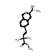 COC(=O)C(C)(C)/C=C/c1ccc2cnc([C@@H](C)O)cc2c1